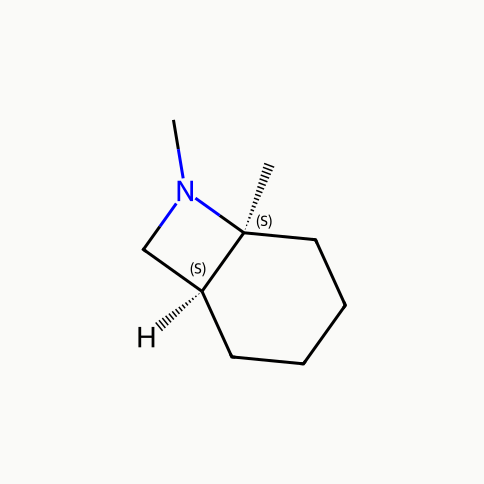 CN1C[C@@H]2CCCC[C@@]21C